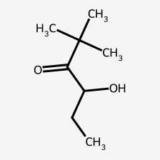 CCC(O)C(=O)C(C)(C)C